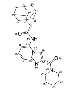 O=C(CC12CC3CC(CC(C3)C1)C2)Nc1cccc2nc(C(=O)N3CCCCC3)cn12